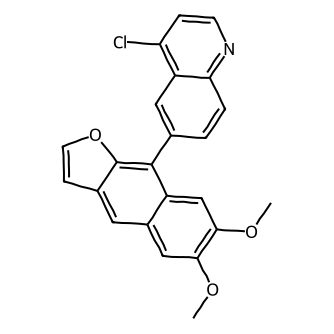 COc1cc2cc3ccoc3c(-c3ccc4nccc(Cl)c4c3)c2cc1OC